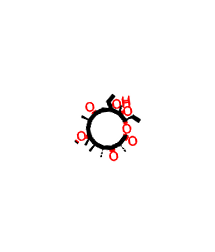 CC[C@H]1OC(=O)[C@H](C)C(=O)[C@H](C)[C@@H](C)[C@](C)(OC)C[C@@H](C)C(=O)CC(O)(CC)[C@]1(C)O